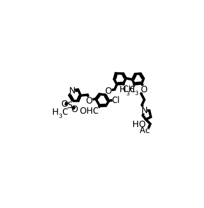 CC(=O)CC1(O)CCN(CCCOc2cccc(-c3cccc(COc4cc(OCc5cncc(S(C)(=O)=O)c5)c(C=O)cc4Cl)c3C)c2C)C1